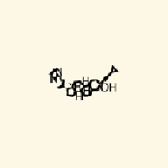 C=C(Cn1nccn1)[C@H]1CC[C@H]2[C@@H]3CC=C4C[C@](O)(C#CC5CC5)CC[C@@H]4[C@H]3CC[C@]12C